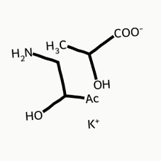 CC(=O)C(O)CN.CC(O)C(=O)[O-].[K+]